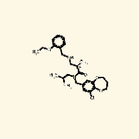 CCOc1ccccc1CNC[C@@H](C)C(=O)N(Cc1cc(Cl)c2c(c1)OCCCO2)CC(C)C